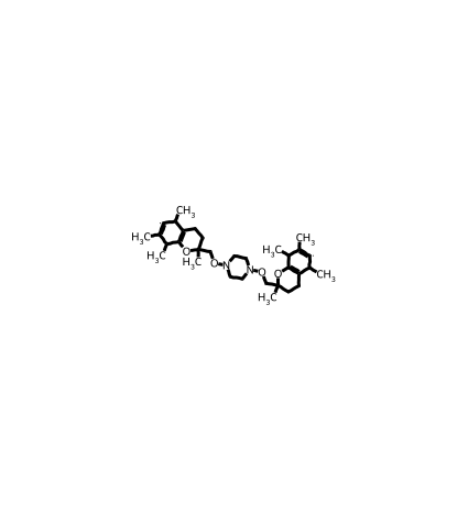 CC1=[C]C(C)C2=C(OC(C)(CON3CCN(OCC4(C)CCC5=C(O4)C(C)C(C)=[C]C5C)CC3)CC2)C1C